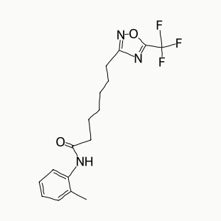 Cc1ccccc1NC(=O)CCCCCCc1noc(C(F)(F)F)n1